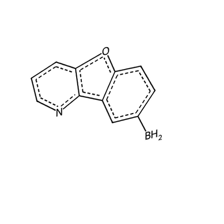 Bc1ccc2oc3cccnc3c2c1